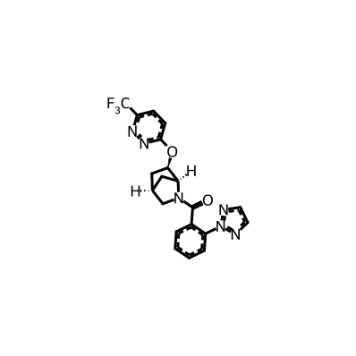 O=C(c1ccccc1-n1nccn1)N1C[C@H]2C[C@@H](Oc3ccc(C(F)(F)F)nn3)[C@@H]1C2